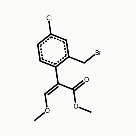 COC=C(C(=O)OC)c1ccc(Cl)cc1CBr